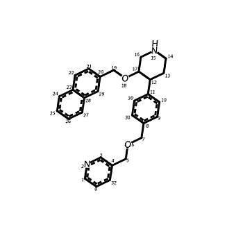 c1cncc(COCc2ccc(C3CCNCC3OCc3ccc4ccccc4c3)cc2)c1